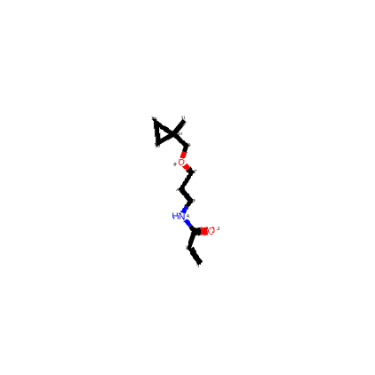 C=CC(=O)NCCCOCC1(C)CC1